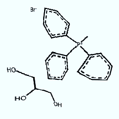 C[P+](c1ccccc1)(c1ccccc1)c1ccccc1.OCC(O)CO.[Br-]